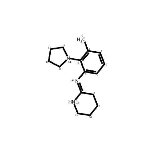 Cc1cccc(/N=C2\CCCCN2)c1N1CCCC1